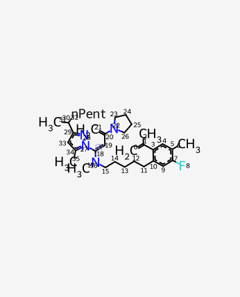 C=C(C)c1cc(C)c(F)cc1CCCCCN(C)/C(=C/C(=C)N1CCCC1)n1nc(C(C)CCCCC)cc1C